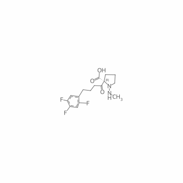 CNN1CCC[C@]1(C(=O)O)C(=O)CCCc1cc(F)c(F)cc1F